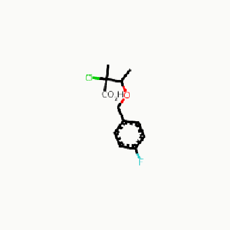 CC(OCc1ccc(F)cc1)C(C)(Cl)C(=O)O